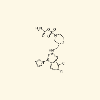 NC(=O)OS(=O)(=O)N1CCOC(CNc2cc(-n3ccnc3)c3ccc(Cl)c(Cl)c3n2)C1